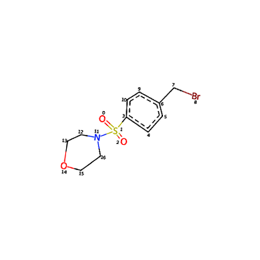 O=S(=O)(c1ccc(CBr)cc1)N1CCOCC1